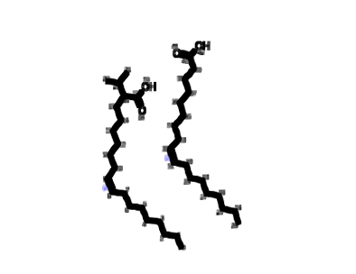 CCCCCCCC/C=C\CCCCCCC(C(=O)O)C(C)C.CCCCCCCC/C=C\CCCCCCCC(=O)O